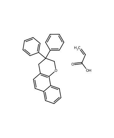 C=CC(=O)O.c1ccc(C2(c3ccccc3)COc3c(ccc4ccccc34)C2)cc1